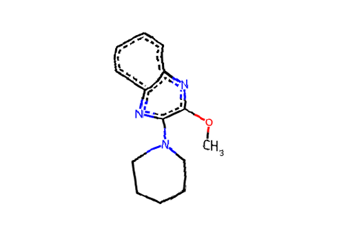 COc1nc2ccccc2nc1N1CCCCC1